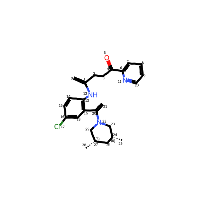 C=C(CCC(=O)c1ccccn1)Nc1ccc(Cl)cc1C(=C)N1C[C@H](C)C[C@H](C)C1